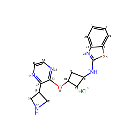 Cl.c1ccc2sc(NC3CC(Oc4nccnc4C4CNC4)C3)nc2c1